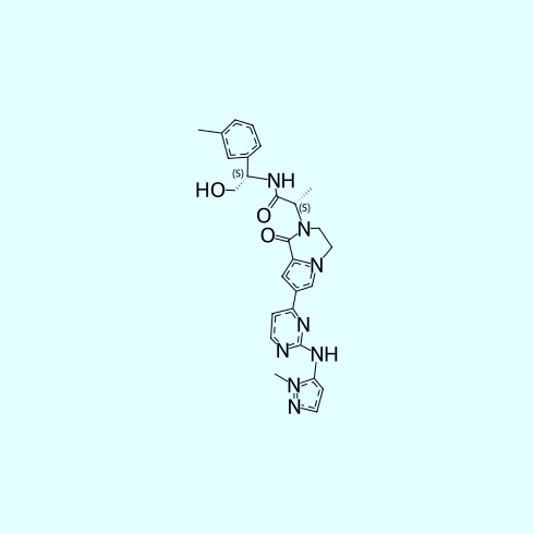 Cc1cccc([C@@H](CO)NC(=O)[C@H](C)N2CCn3cc(-c4ccnc(Nc5ccnn5C)n4)cc3C2=O)c1